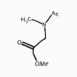 [CH2]OC(=O)CN(C)C(C)=O